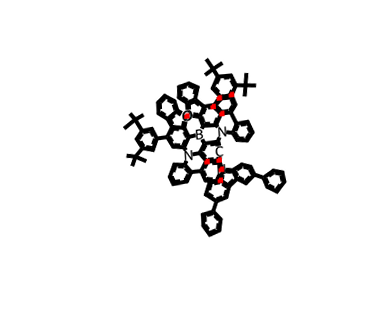 CC(C)(C)c1cc(-c2cc3c(c4oc5ccccc5c24)B2c4c(cc(-n5c6ccc(-c7ccccc7)cc6c6cc(-c7ccccc7)ccc65)cc4N(c4ccccc4-c4ccccc4)c4cc(-c5cc(C(C)(C)C)cc(C(C)(C)C)c5)c5c(oc6ccccc65)c42)N3c2ccccc2-c2ccccc2)cc(C(C)(C)C)c1